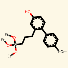 CCCCCCCCc1ccc(-c2ccc(O)cc2CCC[Si](OCC)(OCC)OCC)cc1